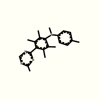 Cc1ccc(N(C)c2c(C)c(C)c(-c3ncnc(C)n3)c(C)c2C)cc1